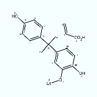 C=CC(=O)O.CCOc1cc(C(C)(C)c2ccc(O)cc2)ccc1O